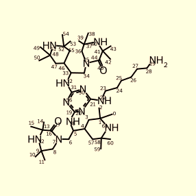 CC1(C)CC(C(CN2CC(C)(C)NC(C)(C)C2=O)Nc2nc(NCCCCCCN)nc(NC(CN3CC(C)(C)NC(C)(C)C3=O)C3CC(C)(C)NC(C)(C)C3)n2)CC(C)(C)N1